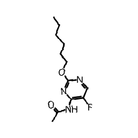 CCCCCCOc1ncc(F)c(NC(C)=O)n1